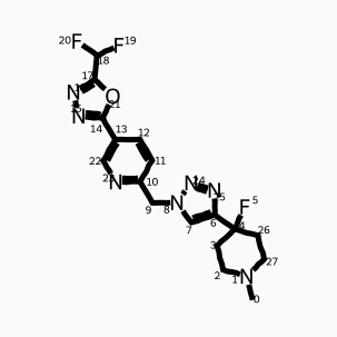 CN1CCC(F)(c2cn(Cc3ccc(-c4nnc(C(F)F)o4)cn3)nn2)CC1